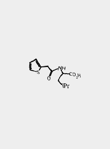 CC(C)CC(NC(=O)Cc1cccs1)C(=O)O